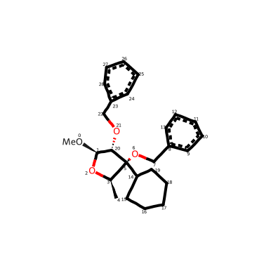 CO[C@@H]1O[C@H](C)[C@](OCc2ccccc2)(C2CCCCC2)[C@H]1OCc1ccccc1